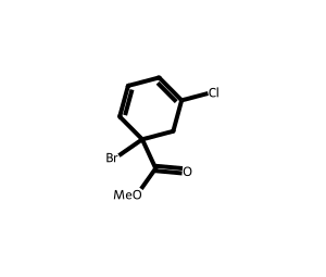 COC(=O)C1(Br)C=CC=C(Cl)C1